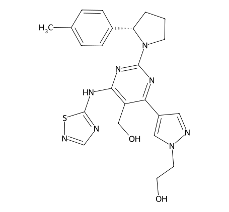 Cc1ccc([C@@H]2CCCN2c2nc(Nc3ncns3)c(CO)c(-c3cnn(CCO)c3)n2)cc1